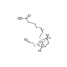 O=CCC[C@@H]1[C@H](C/C=C\CCCC(=O)O)[C@@H]2CC[C@H]1S2